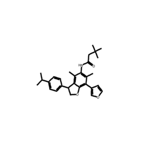 Cc1c(NC(=O)CC(C)(C)C)c(C)c2c(c1-c1ccoc1)OCC2c1ccc(C(C)C)cc1